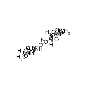 COC(=O)N[C@H](C(=O)N1CCC[C@H]1c1ncc(-c2ccc(-c3ccc(-c4cnc(C5CCCC[C@@H]5C(=O)N(NC(=O)OC)C(C)C)[nH]4)cc3F)cc2)[nH]1)C(C)C